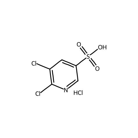 Cl.O=S(=O)(O)c1cnc(Cl)c(Cl)c1